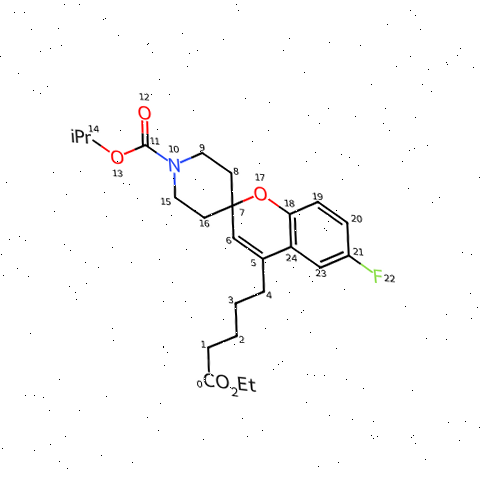 CCOC(=O)CCCCC1=CC2(CCN(C(=O)OC(C)C)CC2)Oc2ccc(F)cc21